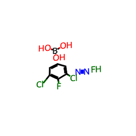 F.Fc1c(Cl)cccc1Cl.N#N.OB(O)O